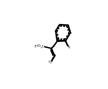 CCOC(=O)C(=CCl)c1ccccc1F